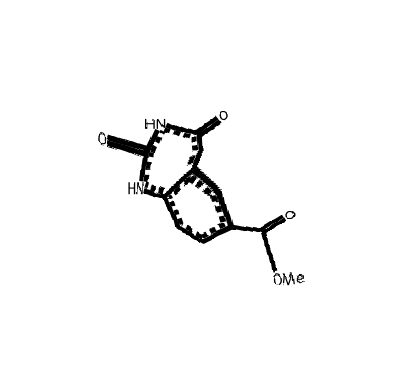 COC(=O)c1ccc2[nH]c(=O)[nH]c(=O)c2c1